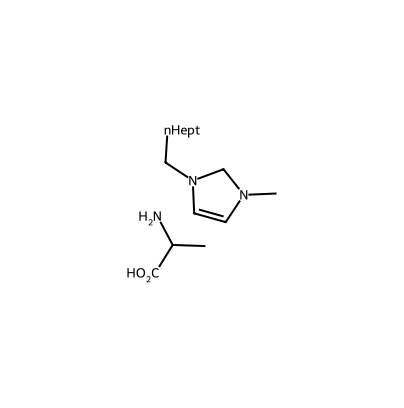 CC(N)C(=O)O.CCCCCCCCN1C=CN(C)C1